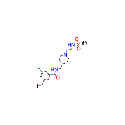 CC(C)S(=O)(=O)NCCN1CCC(CNC(=O)c2cc(F)cc(CI)c2)CC1